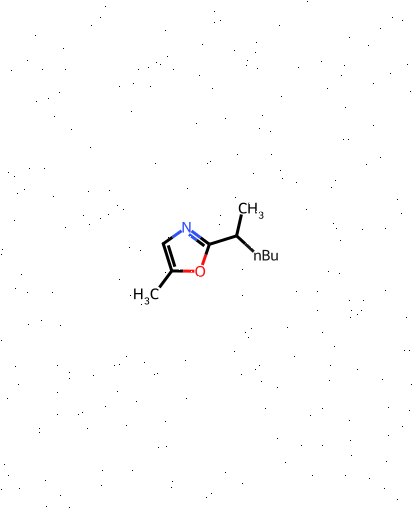 CCCCC(C)c1ncc(C)o1